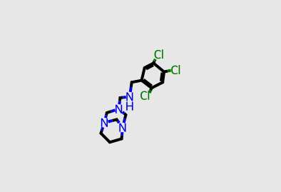 Clc1cc(Cl)c(CNCN2CN3CCCN(C3)C2)cc1Cl